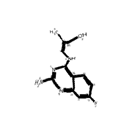 C[C@@H](O)CNc1nc(N)nc2cc(Br)ccc12